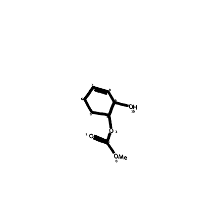 COC(=O)OC1CCC=CC1O